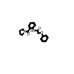 O=C(COc1ccccc1)Nc1ccccc1C(=O)N1CCCC1